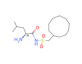 CC(C)C[C@H](N)C(=O)NS(=O)(=O)CC1CCCCCCCCC1